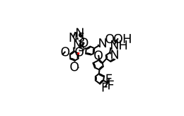 COc1ccc(CN(c2ncns2)S(=O)(=O)c2ccc(Oc3ccc(-c4cccc(C(F)(F)F)c4)cc3-c3ccnc(CNC(=O)O)c3)c(C#N)c2)c(OC)c1